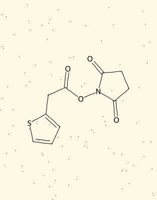 O=C(Cc1cccs1)ON1C(=O)CCC1=O